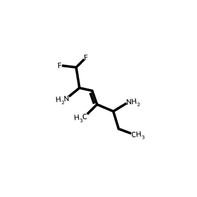 CCC(N)/C(C)=C/C(N)C(F)F